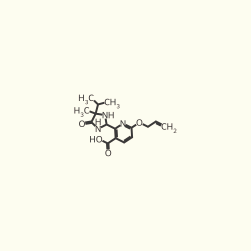 C=CCOc1ccc(C(=O)O)c(C2NC(=O)C(C)(C(C)C)N2)n1